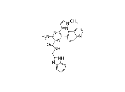 Cn1ccc(-c2nc(N)c(C(=O)NCc3nc4ccccc4[nH]3)nc2-c2ccc3ncccc3c2)n1